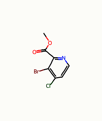 COC(=O)c1nccc(Cl)c1Br